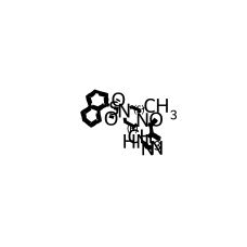 C[C@@H]1CN(S(=O)(=O)c2cccc3ccccc23)C[C@H](C)N1C(=O)c1cnn[nH]1